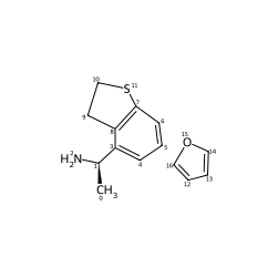 C[C@@H](N)c1cccc2c1CCS2.c1ccoc1